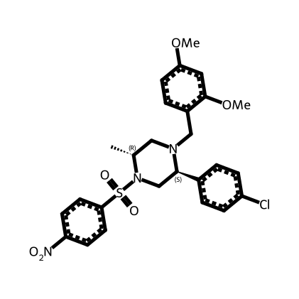 COc1ccc(CN2C[C@@H](C)N(S(=O)(=O)c3ccc([N+](=O)[O-])cc3)C[C@@H]2c2ccc(Cl)cc2)c(OC)c1